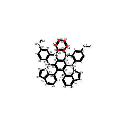 CSc1ccc2c(c1)N(c1ccccc1)c1c3c(c4c5c1N(c1ccccc1)c1cc(SC)ccc1B5n1ccc5cccc-4c51)-c1cccc4ccn(c14)B23